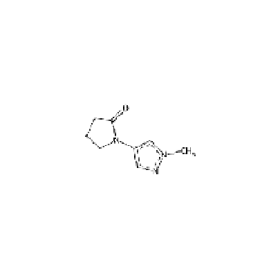 Cn1cc(N2CCCC2=O)cn1